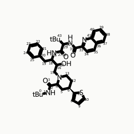 CC(C)(C)NC(=O)C1C[C@H](c2cccs2)CCN1CC(O)C(Cc1ccccc1)NC(=O)C(NC(=O)c1ccc2ccccc2n1)C(C)(C)C